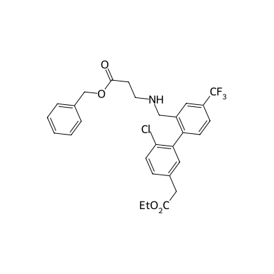 CCOC(=O)Cc1ccc(Cl)c(-c2ccc(C(F)(F)F)cc2CNCCC(=O)OCc2ccccc2)c1